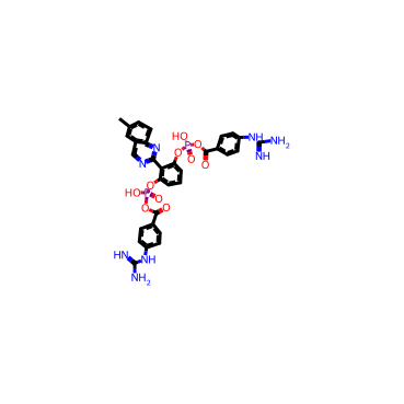 Cc1ccc2nc(-c3c(OP(=O)(O)OC(=O)c4ccc(NC(=N)N)cc4)cccc3OP(=O)(O)OC(=O)c3ccc(NC(=N)N)cc3)ncc2c1